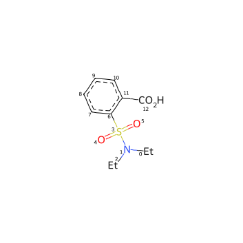 CCN(CC)S(=O)(=O)c1ccccc1C(=O)O